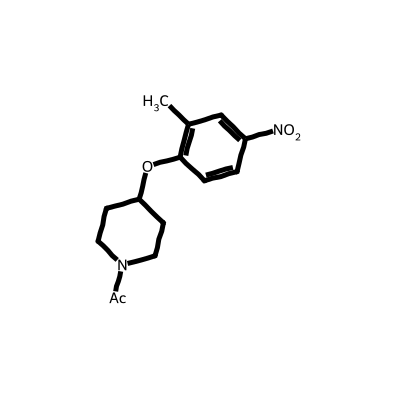 CC(=O)N1CCC(Oc2ccc([N+](=O)[O-])cc2C)CC1